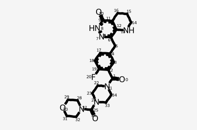 O=C(c1cc(Cc2n[nH]c(=O)c3c2NCCC3)ccc1F)N1CCN(C(=O)N2CCOCC2)CC1